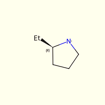 CC[C@@H]1CCC[N]1